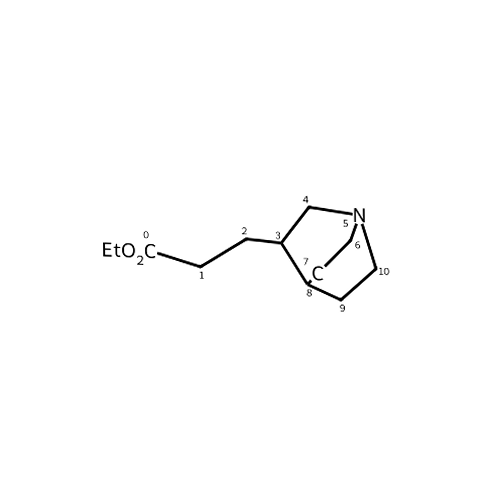 CCOC(=O)CCC1CN2CCC1CC2